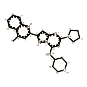 Cc1cc(-c2cc3nc(N4CCCC4)cc(NC4CCOCC4)n3n2)nc2ccccc12